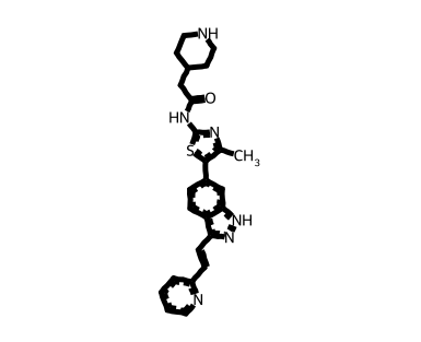 Cc1nc(NC(=O)CC2CCNCC2)sc1-c1ccc2c(C=Cc3ccccn3)n[nH]c2c1